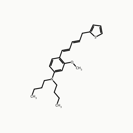 CCCCN(CCCC)c1ccc(/C=C/C=C/Cc2cccs2)c(OC)c1